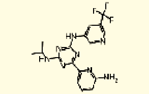 CC(C)Nc1nc(Nc2cncc(C(F)(F)F)c2)nc(-c2cccc(N)n2)n1